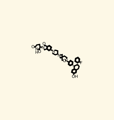 O=C1CCC(N2Cc3cc(N4CCC(N5CC6(CCN(c7ccc([C@H]8c9ccc(O)cc9CC[C@H]8c8ccccc8F)cc7)CC6)C5)CC4)ccc3C2=O)C(=O)N1